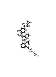 CCNCCOc1ccccc1C1(Nc2nccn(-c3cc(C(=O)NC4CC4)cc(F)c3C)c2=O)CC1